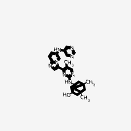 Cc1cnc(N[C@]23C[C@@]4(C)C[C@](C)(C[C@](O)(C4)C2)C3)nc1-c1cnc2ccc(Nc3cncnc3)cn12